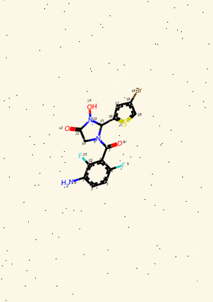 Nc1ccc(F)c(C(=O)N2CC(=O)N(O)C2c2cc(Br)cs2)c1F